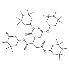 C=C1CC(OC(=O)C(CC(=O)OC2CC(C)(C)N(C)C(C)(C)C2)C(CC(=O)OC2CC(C)(C)N(C)C(C)(C)C2)C(=O)OC2CC(C)(C)N(C)C(C)(C)C2)CC(C)(C)N1C